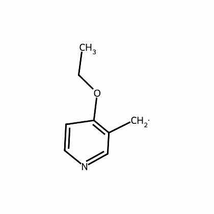 [CH2]c1cnccc1OCC